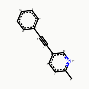 Cc1ccc(C#Cc2ccccc2)cn1